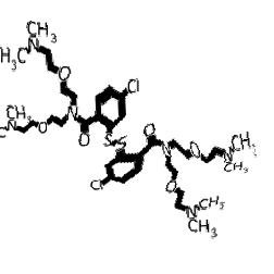 CN(C)CCOCCN(CCOCCN(C)C)C(=O)c1ccc(Cl)cc1SSc1cc(Cl)ccc1C(=O)N(CCOCCN(C)C)CCOCCN(C)C